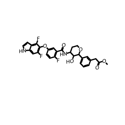 COC(=O)Cc1cccc(C2OCCC(NC(=O)c3cc(Oc4c(F)cc5[nH]ccc5c4F)ccc3F)C2O)c1